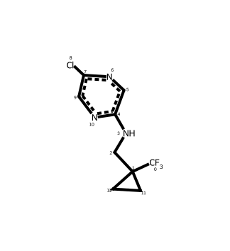 FC(F)(F)C1(CNc2cnc(Cl)cn2)CC1